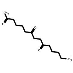 CCCCCC(=O)CCC(=O)CCCCC(C)=O